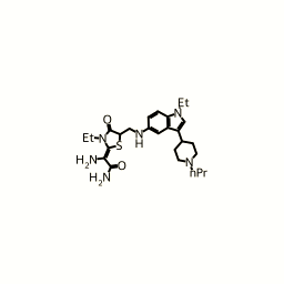 CCCN1CCC(c2cn(CC)c3ccc(NCC4S/C(=C(/N)C(N)=O)N(CC)C4=O)cc23)CC1